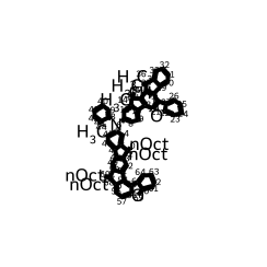 CCCCCCCCC1(CCCCCCCC)c2cc(N(c3ccc4c(c3)C(C)(C)c3c5c(c6c(oc7ccccc76)c3-4)-c3ccccc3C5(C)C)c3ccccc3C)ccc2-c2cc3c(cc21)-c1c(ccc2oc4ccccc4c12)C3(CCCCCCCC)CCCCCCCC